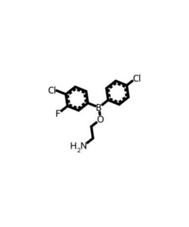 NCCOB(c1ccc(Cl)cc1)c1ccc(Cl)c(F)c1